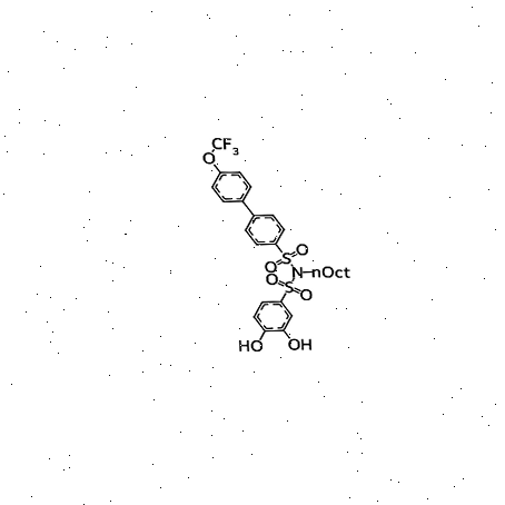 CCCCCCCCN(S(=O)(=O)c1ccc(-c2ccc(OC(F)(F)F)cc2)cc1)S(=O)(=O)c1ccc(O)c(O)c1